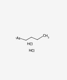 CCCC[As].Cl.Cl